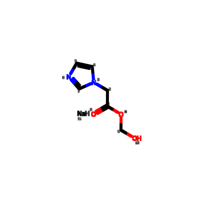 O=C(Cn1ccnc1)OCO.[NaH]